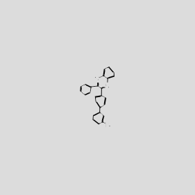 Brc1cccc(-c2ccc(-c3nc4ccccc4nc3-c3ccccc3)cc2)c1